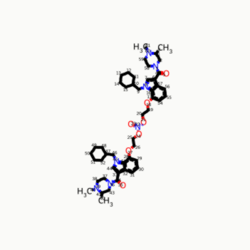 CC1CN(C(=O)c2cn(CC3CCCCC3)c3c(OCCO[N+](=O)OCCOc4cccc5c(C(=O)N6CCN(C)C(C)C6)cn(CC6CCCCC6)c45)cccc23)CCN1C